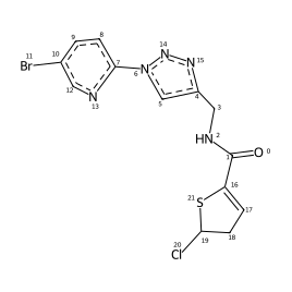 O=C(NCc1cn(-c2ccc(Br)cn2)nn1)C1=CCC(Cl)S1